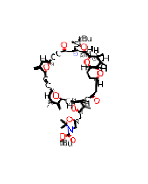 C=C1C[C@@H]2CCC(=O)/C=C/[C@H](O[Si](C)(C)C(C)(C)C)[C@@H]3O[C@H]4CC[C@H](CC(=O)C[C@@H]5[C@@H](C)[C@@H](C[C@H]6CN(C(=O)OC(C)(C)C)C(C)(C)O6)O[C@H]5CC5O[C@@H](CCC1O2)C[C@@H](C)C5=C)O[C@@H]4[C@H](C)[C@@H]3C